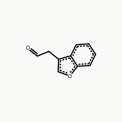 O=[C]Cc1coc2ccccc12